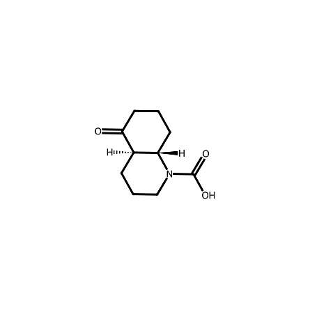 O=C1CCC[C@H]2[C@H]1CCCN2C(=O)O